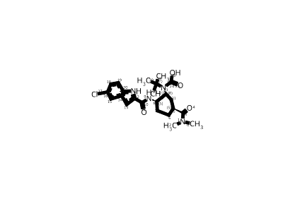 CN(C)C(=O)[C@H]1CC[C@H](NC(=O)c2cc3cc(Cl)ccc3[nH]2)[C@H](N(C(=O)O)C(C)(C)C)C1